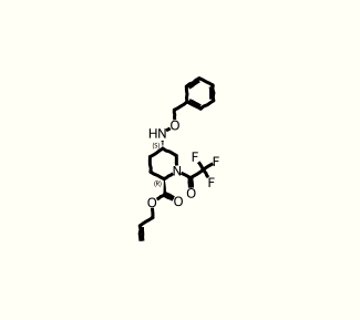 C=CCOC(=O)[C@H]1CC[C@H](NOCc2ccccc2)CN1C(=O)C(F)(F)F